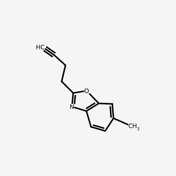 C#CCCc1nc2ccc(C)cc2o1